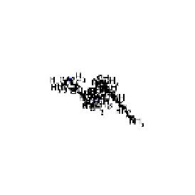 CCC(C)/C=C\C(C)C(C)C(=O)OCC(COC(=O)C(C)C(C)/C=C\C(C)C(C)C)OP(=O)(O)OCCNC(=O)C(C)C(C)C(=O)NCCCNCCCCNCCCN